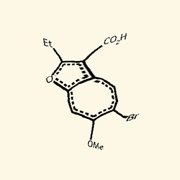 CCc1oc2cc(OC)c(Br)cc2c1C(=O)O